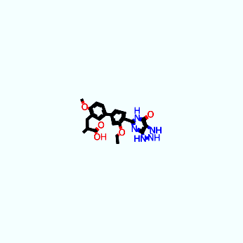 CCOc1cc(-c2ccc(OC)c(CC(C)C(=O)O)c2)ccc1-c1nc2c(c(=O)[nH]1)NNN2